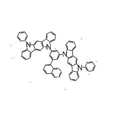 c1ccc(-n2c3ccccc3c3cc4c(cc32)c2ccccc2n4-c2cc(-c3cccc4ccccc34)cc(-n3c4ccccc4c4cc5c(cc43)c3ccccc3n5-c3ccccc3)c2)cc1